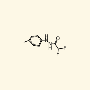 Cc1ccc(NNC(=O)C(F)F)cc1